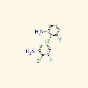 Nc1cccc(F)c1Cl.Nc1cccc(F)c1Cl